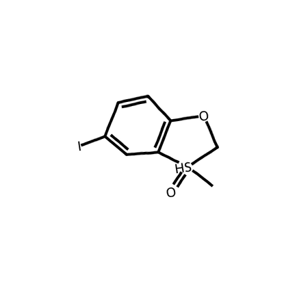 C[SH]1(=O)COc2ccc(I)cc21